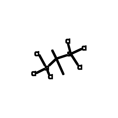 CC(C)([Si](Cl)(Cl)Cl)[Si](Cl)(Cl)Cl